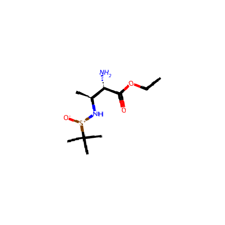 CCOC(=O)[C@@H](N)[C@H](C)N[S+]([O-])C(C)(C)C